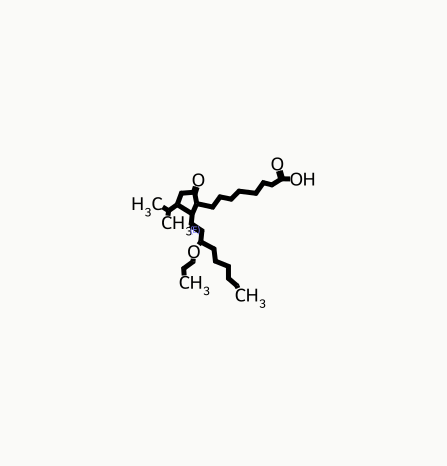 CCCCCCC(/C=C/C1C(CCCCCCCC(=O)O)C(=O)CC1C(C)C)OCCC